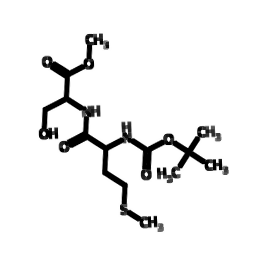 COC(=O)C(CO)NC(=O)C(CCSC)NC(=O)OC(C)(C)C